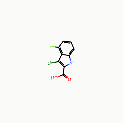 O=C(O)c1[nH]c2cccc(F)c2c1Cl